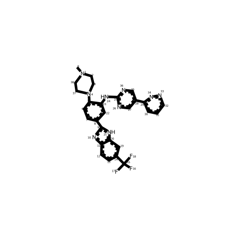 CN1CCN(c2ccc(-c3nc4ccc(C(F)(F)F)cc4[nH]3)cc2Nc2ncc(-c3cccnn3)cn2)CC1